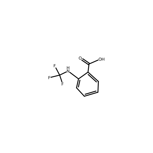 O=C(O)c1ccccc1NC(F)(F)F